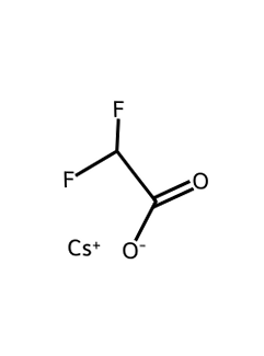 O=C([O-])C(F)F.[Cs+]